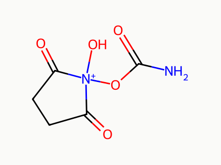 NC(=O)O[N+]1(O)C(=O)CCC1=O